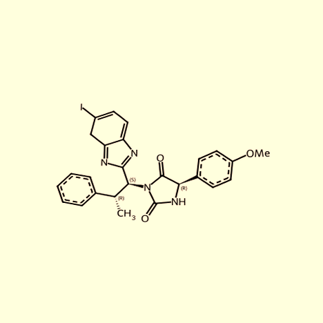 COc1ccc([C@H]2NC(=O)N([C@H](C3=NC4=CC=C(I)CC4=N3)[C@H](C)c3ccccc3)C2=O)cc1